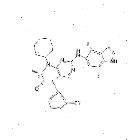 C[C@@H]1C(=O)N(c2cccc(C#N)c2)c2cnc(Nc3cc(F)c4[nH]ncc4c3F)nc2N1C1CCCCC1